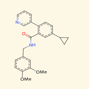 COc1ccc(CNC(=O)c2cc(C3CC3)ccc2-c2cccnc2)cc1OC